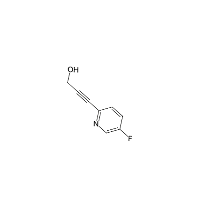 OCC#Cc1ccc(F)cn1